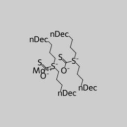 CCCCCCCCCCCCC[S-](CCCCCCCCCCCCC)C([O-])=S.CCCCCCCCCCCCC[S-](CCCCCCCCCCCCC)C([O-])=S.[Mo+4]